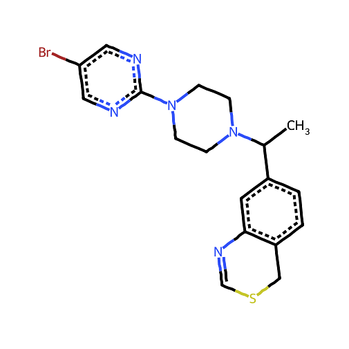 CC(c1ccc2c(c1)N=CSC2)N1CCN(c2ncc(Br)cn2)CC1